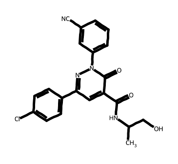 CC(CO)NC(=O)c1cc(-c2ccc(Cl)cc2)nn(-c2cccc(C#N)c2)c1=O